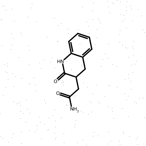 NC(=O)CC1Cc2ccccc2NC1=O